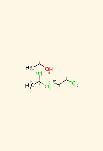 CC(Cl)Cl.CCO.ClCCCl